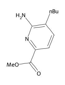 CCCCc1ccc(C(=O)OC)nc1N